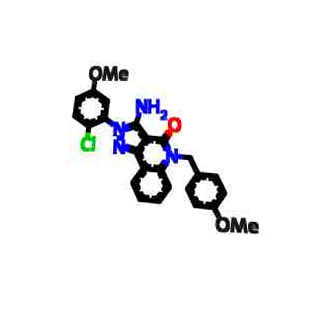 COc1ccc(Cn2c(=O)c3c(N)n(-c4cc(OC)ccc4Cl)nc3c3ccccc32)cc1